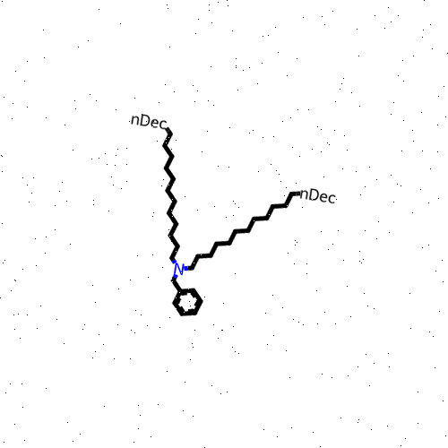 CCCCCCCCCCCCCCCCCCCCCCN(CCCCCCCCCCCCCCCCCCCCCC)Cc1ccccc1